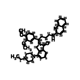 CCN1CCN(c2cccc3c2CN([C@H](CCCNc2ccc4ccccc4n2)c2ccc(OC)c(OC)c2)C3=O)CC1